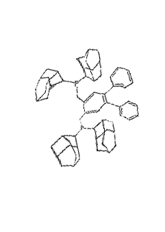 c1ccc(-c2cc(CP(C3C4CC5CC(C4)CC3C5)C3C4CC5CC(C4)CC3C5)c(CP(C3C4CC5CC(C4)CC3C5)C3C4CC5CC(C4)CC3C5)cc2-c2ccccc2)cc1